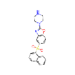 O=S(=O)(c1ccc2oc(N3CCNCC3)nc2c1)c1cccc2ccccc12